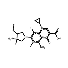 CC1(N)CN(c2c(F)c(N)c3c(=O)c(C(=O)O)cn(C4CC4)c3c2F)CC1CF